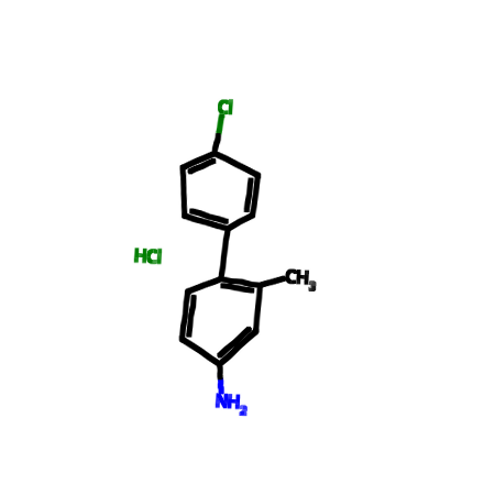 Cc1cc(N)ccc1-c1ccc(Cl)cc1.Cl